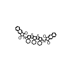 O=c1c(=NC2=Cc3sc4c(c3C23CCCCC3)C2(CCCCC2)c2c-4sc3c2C2(CCCCC2)C(N=c2c(=O)c4cc5ccccc5cc4c2=O)=C3)c(=O)c2cc3ccccc3cc12